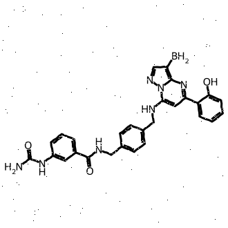 Bc1cnn2c(NCc3ccc(CNC(=O)c4cccc(NC(N)=O)c4)cc3)cc(-c3ccccc3O)nc12